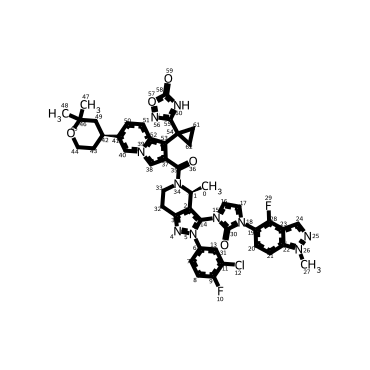 C[C@H]1c2c(nn(-c3ccc(F)c(Cl)c3)c2-n2ccn(-c3ccc4c(cnn4C)c3F)c2=O)CCN1C(=O)c1cn2cc([C@H]3CCOC(C)(C)C3)ccc2c1C1(c2noc(=O)[nH]2)CC1